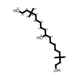 CC(C)(CCO)CCCCCC(O)CCCCCC(C)(C)CCO